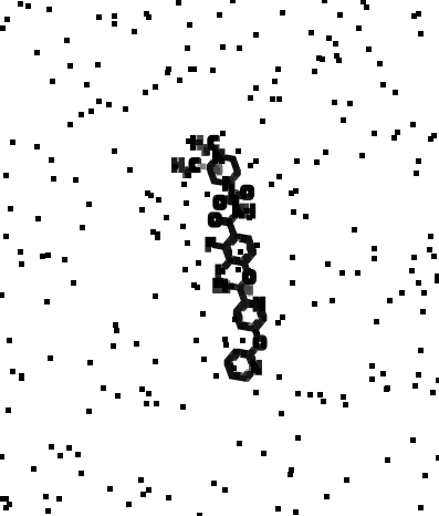 CC[C@@H](Oc1ccc(C(=O)NS(=O)(=O)N2CCN(C)[C@@H](C)C2)c(F)c1F)c1ccc(Oc2ccccn2)cn1